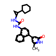 Cc1cc(-c2ccc(NC(=O)NC3CC3C3CCCCC3)c3ccccc23)cc(=O)[nH]1